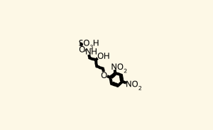 O=[N+]([O-])c1ccc(OCCC(O)CNOS(=O)(=O)O)c([N+](=O)[O-])c1